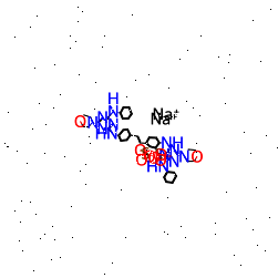 O=S(=O)([O-])c1c(C=Cc2ccc(Nc3nc(Nc4ccccc4)nc(N4CCOCC4)n3)cc2)ccc(Nc2nc(Nc3ccccc3)nc(N3CCOCC3)n2)c1S(=O)(=O)[O-].[Na+].[Na+]